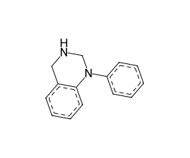 c1ccc(N2CNCc3ccccc32)cc1